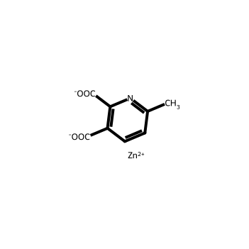 Cc1ccc(C(=O)[O-])c(C(=O)[O-])n1.[Zn+2]